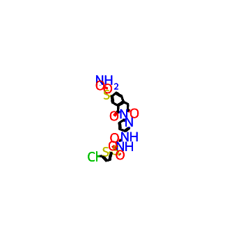 NOOSc1ccc2c(c1)C(=O)N(c1ccc(NC(=O)NS(=O)(=O)c3ccc(Cl)s3)cn1)C(=O)C2